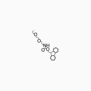 [CH2]COCCOCCNC(=O)OCC1c2ccccc2-c2ccccc21